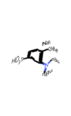 CCCCN(CCCC)c1cc(S(=O)(=O)O)ccc1OC.[NaH]